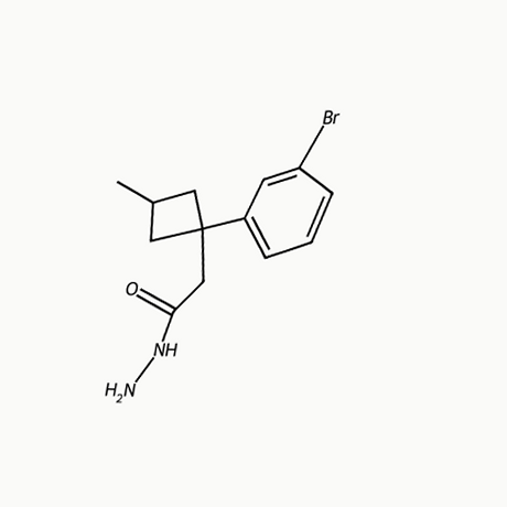 CC1CC(CC(=O)NN)(c2cccc(Br)c2)C1